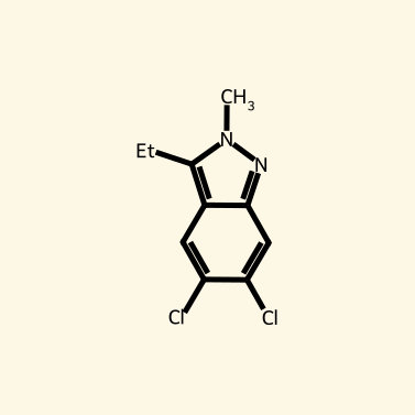 CCc1c2cc(Cl)c(Cl)cc2nn1C